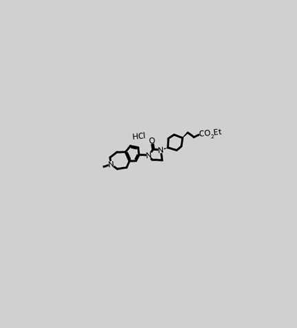 CCOC(=O)CC[C@H]1CC[C@H](N2CCN(c3ccc4c(c3)CCN(C)CC4)C2=O)CC1.Cl